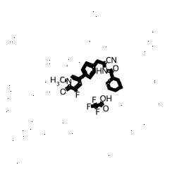 Cn1cc(-c2ccc(CC(C#N)NC(=O)C3CCCCC3)cc2)cc(F)c1=O.O=C(O)C(F)(F)F